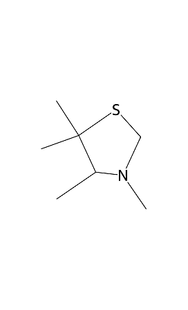 CC1N(C)CSC1(C)C